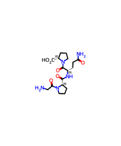 NCC(=O)N1CCC[C@H]1C(=O)N[C@@H](CCC(N)=O)C(=O)N1CCC[C@H]1C(=O)O